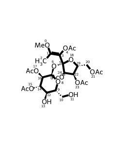 COC(C)=C(OC(C)=O)[C@@]1(O[C@H]2O[C@H](CO)[C@@H](O)[C@H](OC(C)=O)[C@H]2OC(C)=O)O[C@H](COC(C)=O)[C@@H](OC(C)=O)[C@@H]1OC(C)=O